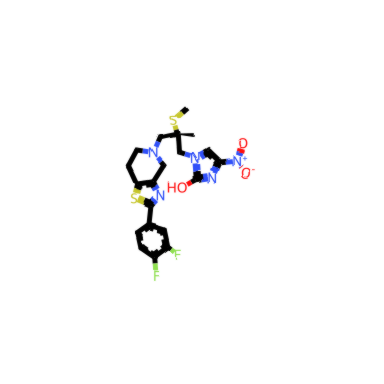 CS[C@@](C)(CN1CCc2sc(-c3ccc(F)c(F)c3)nc2C1)Cn1cc([N+](=O)[O-])nc1O